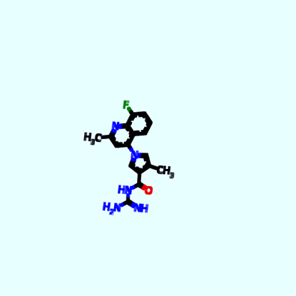 Cc1cc(-n2cc(C)c(C(=O)NC(=N)N)c2)c2cccc(F)c2n1